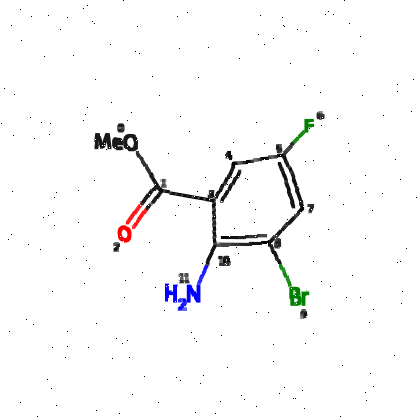 COC(=O)c1cc(F)cc(Br)c1N